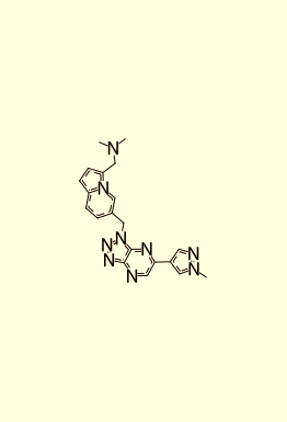 CN(C)Cc1ccc2ccc(Cn3nnc4ncc(-c5cnn(C)c5)nc43)cn12